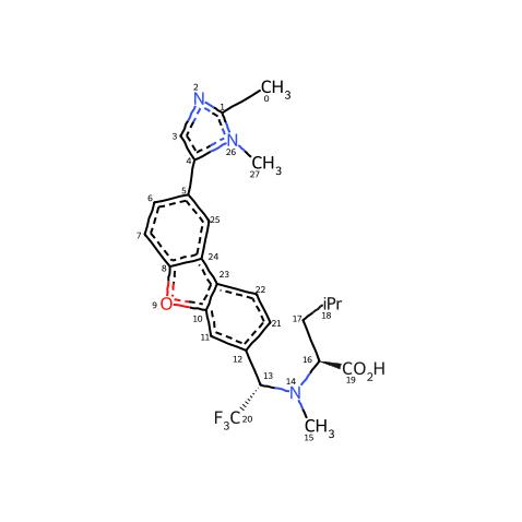 Cc1ncc(-c2ccc3oc4cc([C@H](N(C)[C@@H](CC(C)C)C(=O)O)C(F)(F)F)ccc4c3c2)n1C